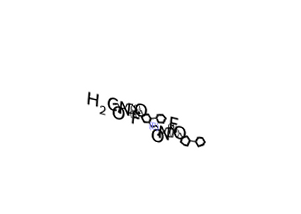 C=CC(=O)N1CC[C@H](Oc2ccc(/C=C/C(=O)N3CC[C@@H](Oc4cccc(-c5ccccc5)c4)[C@H](F)C3)c(-c3ccccc3)c2)[C@H](F)C1